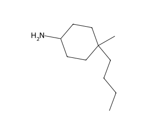 CCCCC1(C)CCC(N)CC1